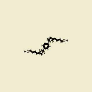 OCCCCC1COB(c2ccc(B3OCC(CCCCO)O3)cc2)O1